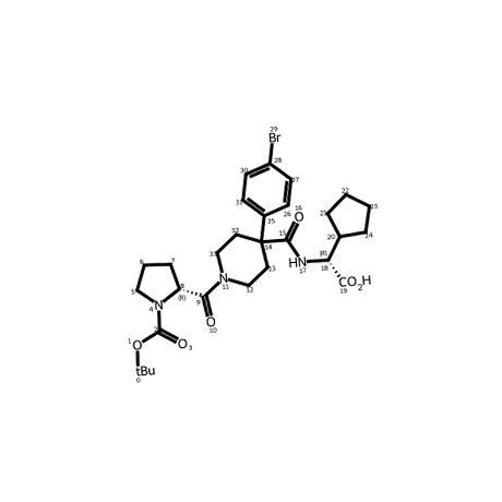 CC(C)(C)OC(=O)N1CCC[C@@H]1C(=O)N1CCC(C(=O)N[C@@H](C(=O)O)C2CCCC2)(c2ccc(Br)cc2)CC1